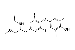 CCNC(COC)Cc1cc(I)c(Oc2cc(I)c(O)c(I)c2)c(I)c1